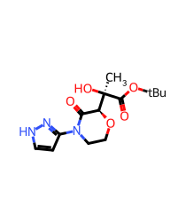 CC(C)(C)OC(=O)[C@](C)(O)[C@H]1OCCN(c2cc[nH]n2)C1=O